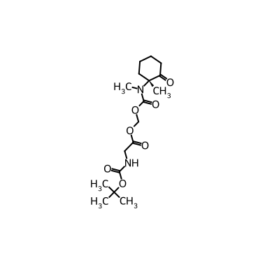 CN(C(=O)OCOC(=O)CNC(=O)OC(C)(C)C)[C@]1(C)CCCCC1=O